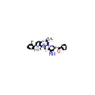 C=C/C=C(\C(=C/C)NC(=C)c1nc(-c2c(F)cccc2F)ccc1N)N1CC(=N)C[C@H](OC(=O)c2ccccc2)C1